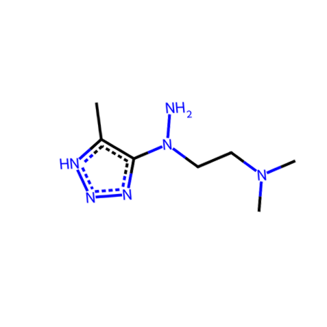 Cc1[nH]nnc1N(N)CCN(C)C